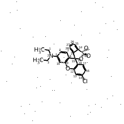 CCN(CC)c1ccc2c(c1)Oc1cc(Cl)ccc1C21OS(=O)(=O)c2ccccc21